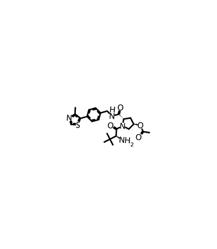 CC(=O)O[C@@H]1C[C@@H](C(=O)NCc2ccc(-c3scnc3C)cc2)N(C(=O)[C@@H](N)C(C)(C)C)C1